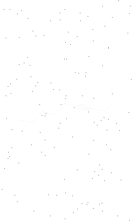 CCC#CCCCCC